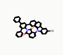 N#Cc1ccc2c(c1)c1ccccc1n2-c1cccc2c1C(=O)N(c1c(-c3ccccc3)cc(-c3ccccc3)cc1-c1ccccc1)C2=O